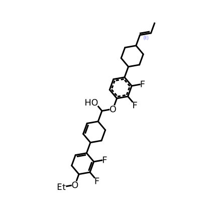 C/C=C/C1CCC(c2ccc(OC(O)C3C=CC(C4=CCC(OCC)C(F)=C4F)CC3)c(F)c2F)CC1